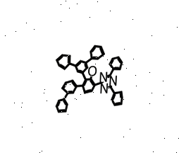 c1ccc(-c2cccc(-c3ccc(-c4nc(-c5ccccc5)nc(-c5ccccc5)n4)c4oc5c(-c6ccccc6)cc(-c6ccccc6)cc5c34)c2)cc1